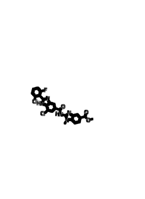 COC(=O)c1ccc2c(c1)nc(NC(=O)c1cc(Cl)c3[nH]c(-c4c(F)cccc4Cl)nc3c1)n2C